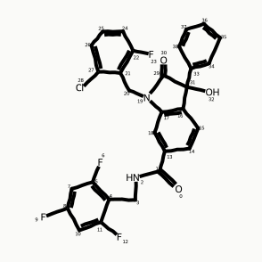 O=C(NCc1c(F)cc(F)cc1F)c1ccc2c(c1)N(Cc1c(F)cccc1Cl)C(=O)C2(O)c1ccccc1